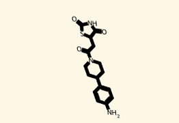 Nc1ccc(C2CCN(C(=O)CC3SC(=O)NC3=O)CC2)cc1